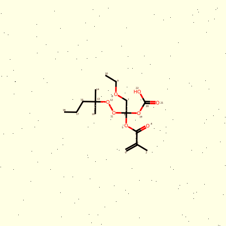 C=C(C)C(=O)OC(COCC)(OOC(C)(C)CCC)OC(=O)O